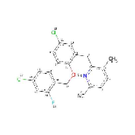 Cc1ccc(C#N)nc1Cc1cc(Cl)ccc1OCc1ccc(Cl)cc1F